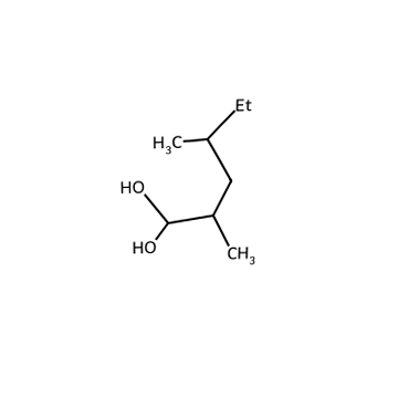 CCC(C)CC(C)C(O)O